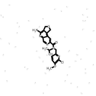 COc1ccc(CN(C(=O)c2cc3c4c(c(N)nc3cn2)COC4)C(C)C)nc1Cl